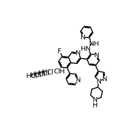 Cl.Cl.Cl.Cl.Cl.Cl.Fc1ccc(-c2cccnc2)c2cc(-c3cc(-c4cnn(C5CCNCC5)c4)cnc3NNc3ccccn3)ncc12